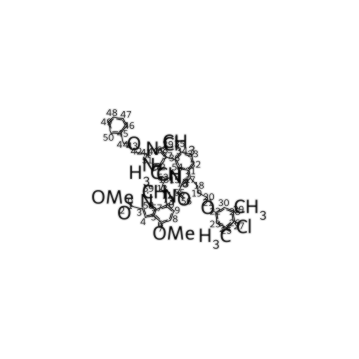 COC(=O)c1cc2c(OC)ccc(N3C[C@@H](C)n4c(c(CCCOc5cc(C)c(Cl)c(C)c5)c5ccc(Cl)c(-c6c(C)nc(COCc7ccccc7)nc6C)c54)C3=O)c2n1C